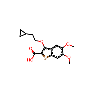 COc1cc2sc(C(=O)O)c(OCCC3CC3)c2cc1OC